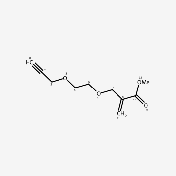 C#CCOCCOCC(=C)C(=O)OC